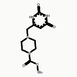 CC(C)(C)OC(=O)N1CCN(Cc2cc(=O)[nH]c(=O)[nH]2)CC1